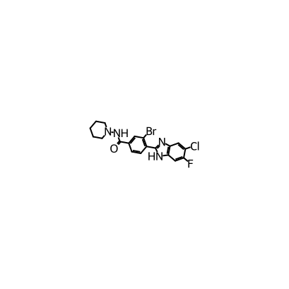 O=C(NN1CCCCC1)c1ccc(-c2nc3cc(Cl)c(F)cc3[nH]2)c(Br)c1